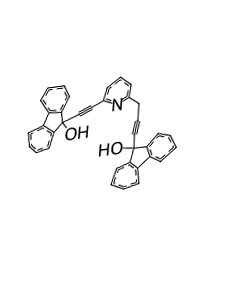 OC1(C#CCc2cccc(C#CC3(O)c4ccccc4-c4ccccc43)n2)c2ccccc2-c2ccccc21